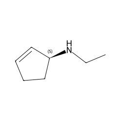 CCN[C@@H]1C=CCC1